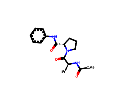 COC(=O)N[C@H](C(=O)N1CCC[C@H]1C(=O)Nc1ccccc1)C(C)C